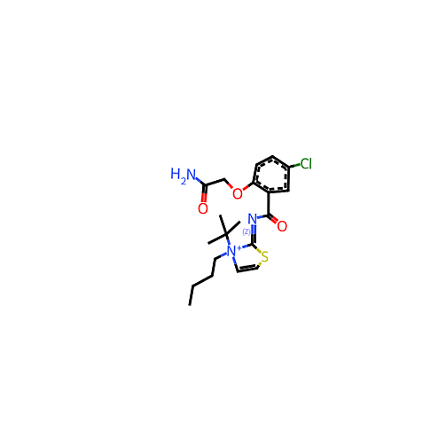 CCCC[N+]1(C(C)(C)C)C=CS/C1=N\C(=O)c1cc(Cl)ccc1OCC(N)=O